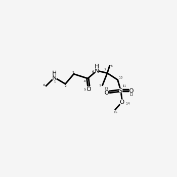 CNCCC(=O)NC(C)(C)CS(=O)(=O)OC